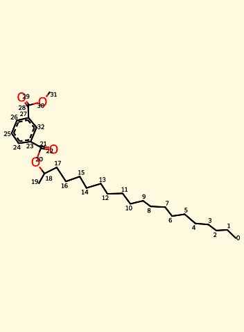 CCCCCCCCCCCCCCCCCCC(C)OC(=O)c1cccc(C(=O)OC)c1